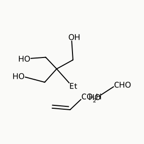 C=CC(=O)O.CCC(CO)(CO)CO.O=CO